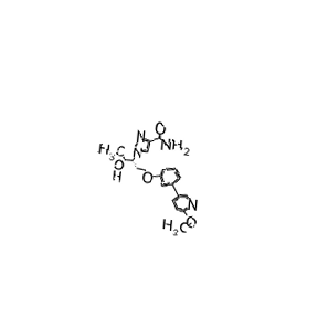 COc1ccc(-c2cccc(OCC[C@H]([C@H](C)O)n3cnc(C(N)=O)c3)c2)cn1